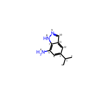 CC(C)c1cc(N)c2[nH]ncc2c1